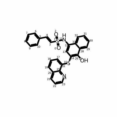 O=S(=O)(/C=C/c1ccccc1)Nc1cc(Sc2cccc3cccnc23)c(O)c2ccccc12